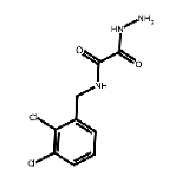 NNC(=O)C(=O)NCc1cccc(Cl)c1Cl